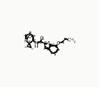 CCCOc1cccc2cc(C(=O)NC3C4CCN(CC4)C34CC4)sc12